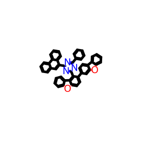 c1ccc(-c2nc(-c3cc4ccccc4c4ccccc34)nc(-c3c(-c4ccc5c(c4)oc4ccccc45)ccc4oc5ccccc5c34)n2)cc1